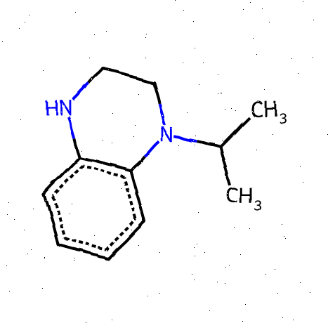 CC(C)N1CCNc2ccccc21